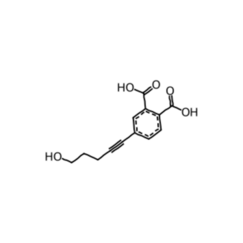 O=C(O)c1ccc(C#CCCCO)cc1C(=O)O